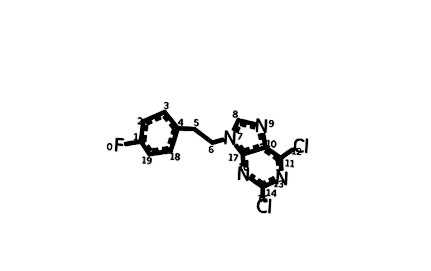 Fc1ccc(CCn2cnc3c(Cl)nc(Cl)nc32)cc1